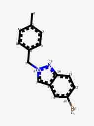 Cc1ccc(Cn2cc3cc(Br)ccc3n2)cc1